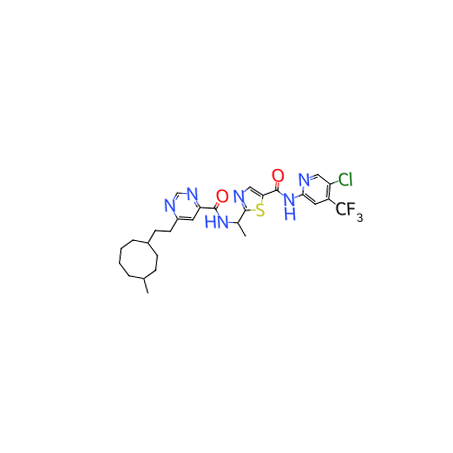 CC1CCCCC(CCc2cc(C(=O)NC(C)c3ncc(C(=O)Nc4cc(C(F)(F)F)c(Cl)cn4)s3)ncn2)CC1